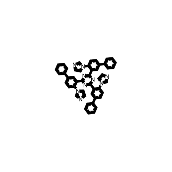 c1ccc(-c2ccc(-n3ccnc3)c(-c3nc(-c4cc(-c5ccccc5)ccc4-n4ccnc4)nc(-c4cc(-c5ccccc5)ccc4-n4ccnc4)n3)c2)cc1